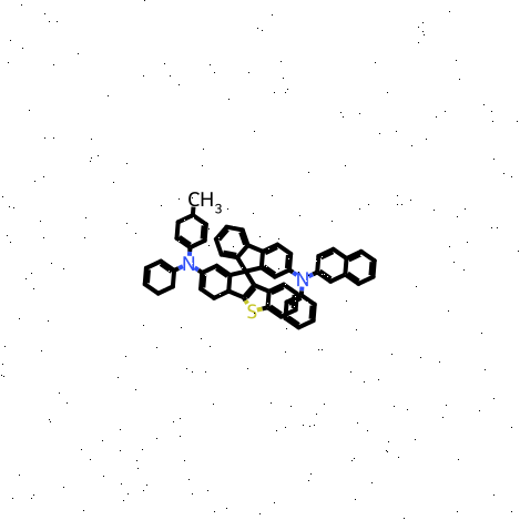 CC1C=CC(N(C2=CCC3C(=C2)C2(c4ccccc4-c4ccc(N(c5ccccc5)c5ccc6ccccc6c5)cc42)c2c3sc3ccccc23)C2=CC=CCC2)=CC1